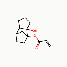 C=CC(=O)OC12CCC(C1)C1CCCC12O